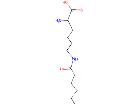 CCCCCC(=O)NCCCCC(N)C(=O)O